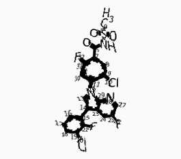 CS(=O)(=O)NC(=O)c1cc(Cl)c(-n2cc(-c3cccc(Cl)c3F)c3cc(F)cnc32)cc1F